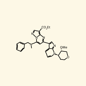 CCOC(=O)c1cnn2c(N(C)Cc3ccccc3)cc(-c3cnc4n([C@@H]5CCOC[C@H]5OC)cccc3-4)nc12